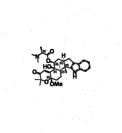 CO[C@]12CC[C@]3(C)[C@@]4(C)c5[nH]c6ccccc6c5C[C@@H]4C[C@H](OC(=O)[C@H](C)N(C)C)[C@@]3(O)C1=CC(=O)C(C)(C)O2